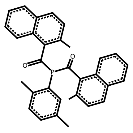 Cc1ccc(C)c(P(C(=O)c2c(C)ccc3ccccc23)C(=O)c2c(C)ccc3ccccc23)c1